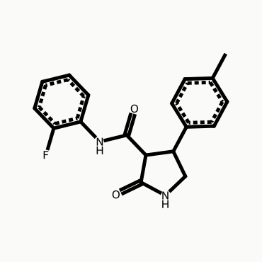 Cc1ccc(C2CNC(=O)C2C(=O)Nc2ccccc2F)cc1